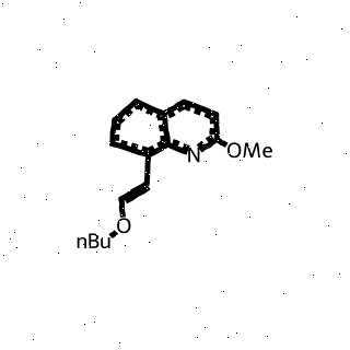 CCCCOC=Cc1cccc2ccc(OC)nc12